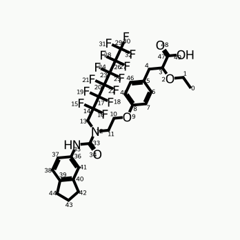 CCOC(Cc1ccc(OCCN(CC(F)(F)C(F)(F)C(F)(F)C(F)(F)C(F)(F)C(F)(F)F)C(=O)Nc2ccc3c(c2)CCC3)cc1)C(=O)O